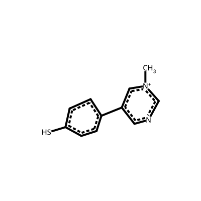 C[n+]1cncc(-c2ccc(S)cc2)c1